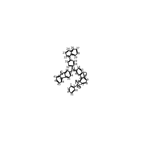 c1ccc(-c2nc3c(ccc4oc5ccc(N(c6ccc(-c7cccc8ccccc78)cc6)c6ccc7c(c6)sc6ccccc67)cc5c43)s2)cc1